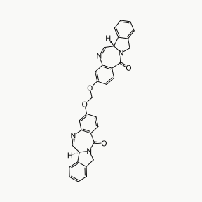 O=C1c2ccc(OCOc3ccc4c(c3)N=C[C@@H]3c5ccccc5CN3C4=O)cc2N=C[C@@H]2c3ccccc3CN12